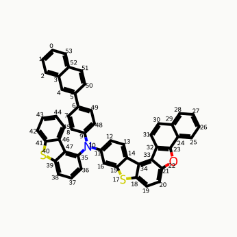 c1ccc2cc(-c3ccc(N(c4ccc5c(c4)sc4ccc6oc7c8ccccc8ccc7c6c45)c4cccc5sc6ccccc6c45)cc3)ccc2c1